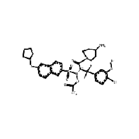 CC(C)Oc1cc(C(F)(F)[C@@H](C(=O)N2CCC(N)CC2)N(OC(=O)C(F)(F)F)S(=O)(=O)c2ccc3cc(OC4CCCC4)ccc3c2)ccc1Cl